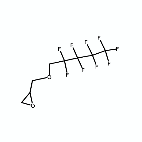 FC(F)(F)C(F)(F)C(F)(F)C(F)(F)COCC1CO1